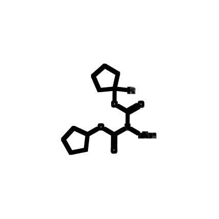 CCCCCCCCCN(C(=O)OC1CCCC1)C(=O)OC1(CC)CCCC1